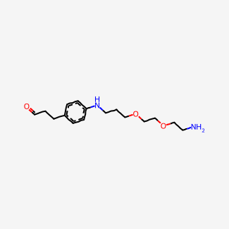 NCCOCCOCCCNc1ccc(CCC=O)cc1